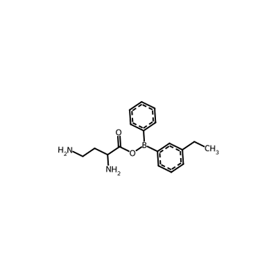 CCc1cccc(B(OC(=O)C(N)CCN)c2ccccc2)c1